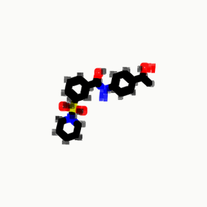 CC(O)c1ccc(NC(=O)c2cccc(S(=O)(=O)N3CCCCC3)c2)cc1